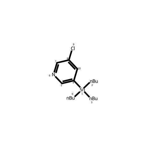 CCC[CH2][Sn]([CH2]CCC)([CH2]CCC)[c]1cncc(Cl)c1